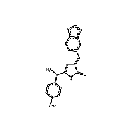 COc1ccc(N(C)C2=N/C(=C\c3ccc4ncsc4c3)C(=O)N2)cc1